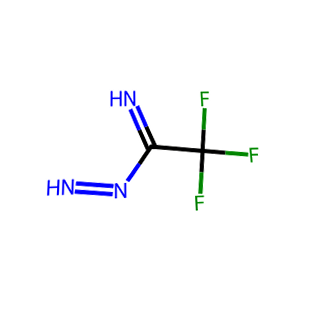 N=NC(=N)C(F)(F)F